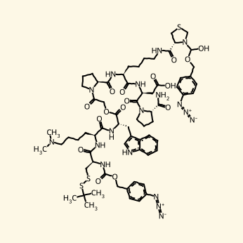 CN(C)CCCC[C@H](NC(=O)[C@H](CSSC(C)(C)C)NC(=O)OCc1ccc(N=[N+]=[N-])cc1)C(=O)N[C@@H](Cc1c[nH]c2ccccc12)C(=O)OCC(=O)N1CCC[C@H]1C(=O)N[C@@H](CCCCNC(=O)[C@@H]1CSCN1C(O)OCc1ccc(N=[N+]=[N-])cc1)C(=O)N[C@@H](CC(=O)O)C(=O)N1CCC[C@H]1C(N)=O